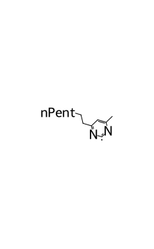 CCCCCCCc1cc(C)n[c]n1